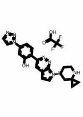 O=C(O)C(F)(F)F.Oc1cc(-n2ccnn2)ccc1-c1cc2ccn([C@H]3CCNC4(CC4)C3)c2nn1